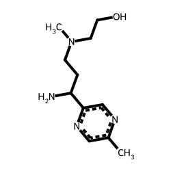 Cc1cnc(C(N)CCN(C)CCO)cn1